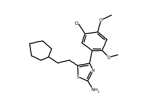 COc1cc(OC)c(-c2nc(N)sc2CCC2CCCCC2)cc1Cl